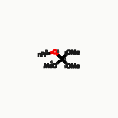 CCCO[Si](OC)(OC)OC